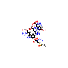 C[S+]([O-])CCC(N)C(=O)O.NC(Cc1c[nH]c2ccccc12)C(=O)O.NC(Cc1c[nH]cn1)C(=O)O.NC(Cc1ccc(O)cc1)C(=O)O